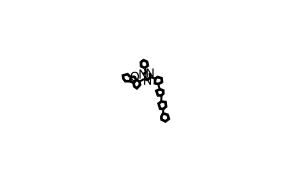 c1ccc(-c2ccc(-c3ccc(-c4cccc(-c5nc(-c6ccccc6)nc(-c6cccc7c6oc6ccccc67)n5)c4)cc3)cc2)cc1